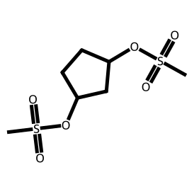 CS(=O)(=O)OC1CCC(OS(C)(=O)=O)C1